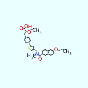 CCCOc1ccc2cc(C(=O)N(C)Cc3csc(-c4ccc(CC(OCC)C(=O)O)cc4)c3)ccc2c1